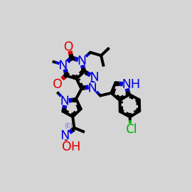 C/C(=N\O)c1cc(-c2c3c(=O)n(C)c(=O)n(CC(C)C)c3nn2Cc2c[nH]c3ccc(Cl)cc23)n(C)c1